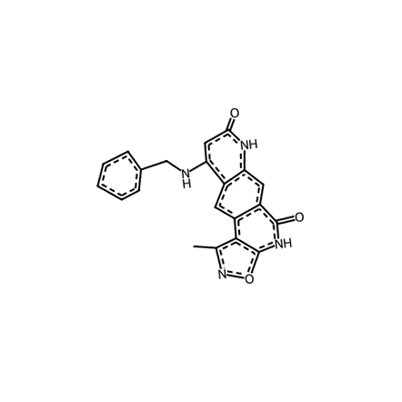 Cc1noc2[nH]c(=O)c3cc4[nH]c(=O)cc(NCc5ccccc5)c4cc3c12